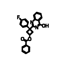 O=C(O[C@H]1C[C@](c2ccc(F)cc2)(c2nc(O)c3ccccc3n2)C1)c1ccccc1